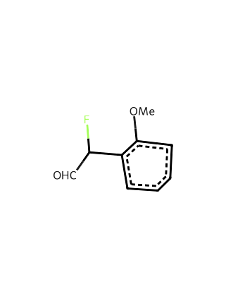 COc1ccccc1C(F)C=O